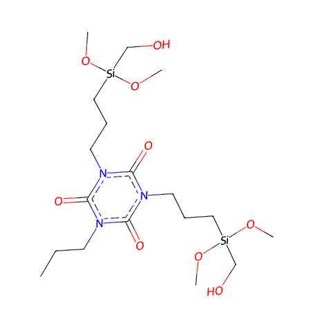 CCCn1c(=O)n(CCC[Si](CO)(OC)OC)c(=O)n(CCC[Si](CO)(OC)OC)c1=O